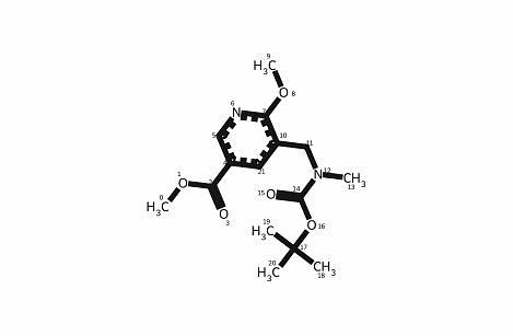 COC(=O)c1cnc(OC)c(CN(C)C(=O)OC(C)(C)C)c1